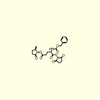 C=C1CCC(=O)N1OC(=O)CCC(NC(=O)OCc1ccccc1)C(=O)ON1C(=O)CCC1=O